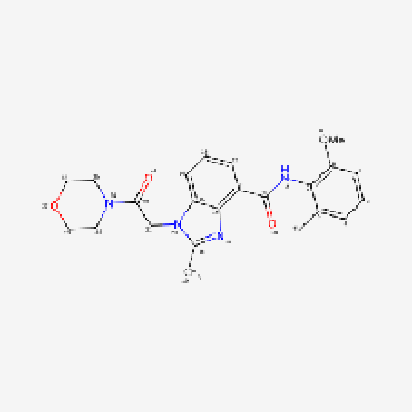 COc1cccc(C)c1NC(=O)c1cccc2c1nc(C(F)(F)F)n2CC(=O)N1CCOCC1